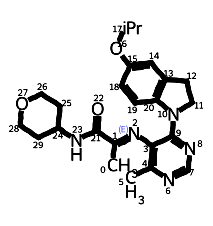 C/C(=N\c1c(C)ncnc1N1CCc2cc(OC(C)C)ccc21)C(=O)NC1CCOCC1